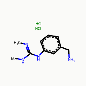 CCNC(=NC)Nc1cccc(CN)c1.Cl.Cl